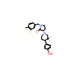 Cc1ccc(CN2CC[C@H](N3CCC(c4ccc(O)cc4)C(F)(F)C3)C2=O)cc1F